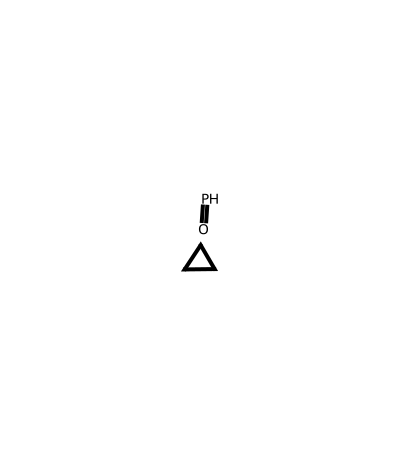 C1CC1.O=P